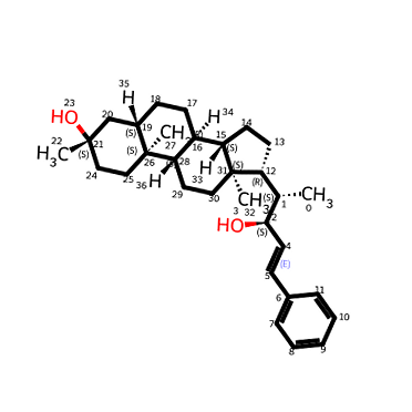 C[C@H]([C@H](O)/C=C/c1ccccc1)[C@H]1CC[C@H]2[C@@H]3CC[C@H]4C[C@@](C)(O)CC[C@]4(C)[C@H]3CC[C@]12C